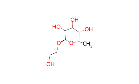 CC1O[C@@H](OCCO)C(O)C(O)[C@@H]1O